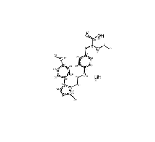 CCO[C@@H](Cc1ccc(OCCn2c(C)ccc2-c2ccc(SC)cc2)cc1)C(=O)O.[LiH]